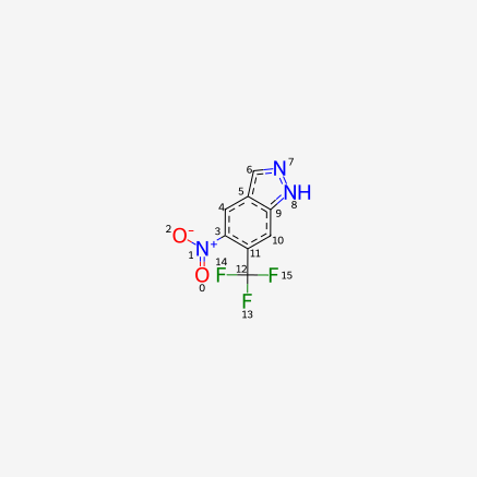 O=[N+]([O-])c1cc2cn[nH]c2cc1C(F)(F)F